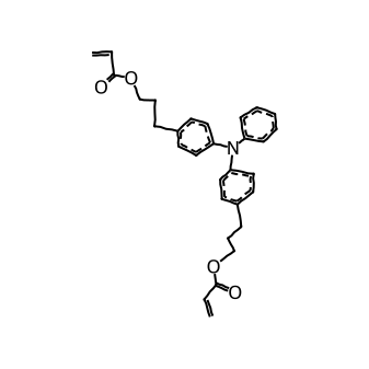 C=CC(=O)OCCCc1ccc(N(c2ccccc2)c2ccc(CCCOC(=O)C=C)cc2)cc1